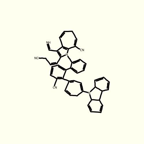 N#CC/C=C\c1c(C=N)c2c(n1-c1ccccc1-c1cccc(C#N)c1C1=CC=C(N3C4C=CC=CC4C4C=CC=CC43)CC=C1)C(C#N)=CCC=C2